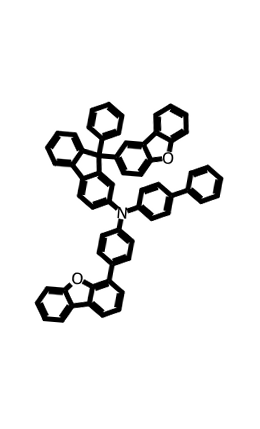 c1ccc(-c2ccc(N(c3ccc(-c4cccc5c4oc4ccccc45)cc3)c3ccc4c(c3)C(c3ccccc3)(c3ccc5oc6ccccc6c5c3)c3ccccc3-4)cc2)cc1